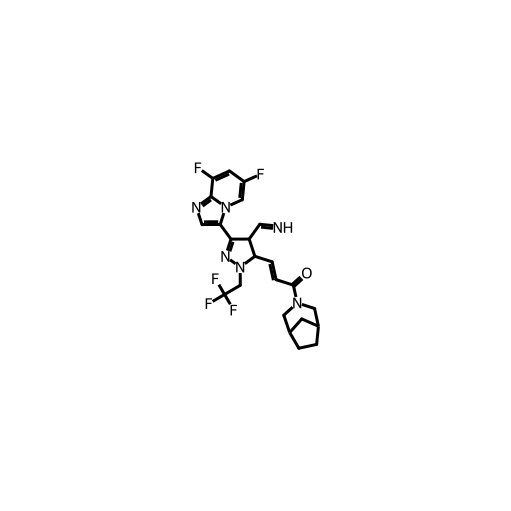 N=CC1C(c2cnc3c(F)cc(F)cn23)=NN(CC(F)(F)F)C1/C=C/C(=O)N1CC2CCC(C2)C1